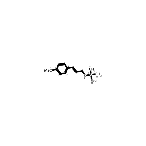 COc1ccc(/C=C/CO[Si](C)(C)C(C)(C)C)cc1